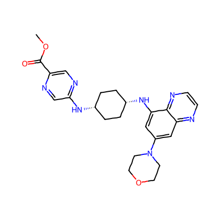 COC(=O)c1cnc(N[C@H]2CC[C@@H](Nc3cc(N4CCOCC4)cc4nccnc34)CC2)cn1